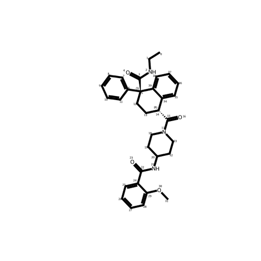 CCNC(=O)[C@]1(c2ccccc2)CC[C@@H](C(=O)N2CCC(NC(=O)c3ccccc3OC)CC2)c2ccccc21